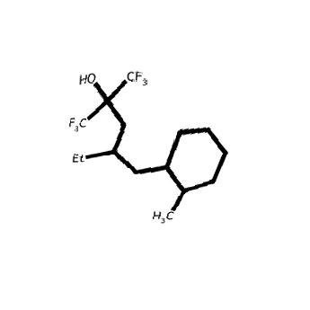 CCC(CC1CCCCC1C)CC(O)(C(F)(F)F)C(F)(F)F